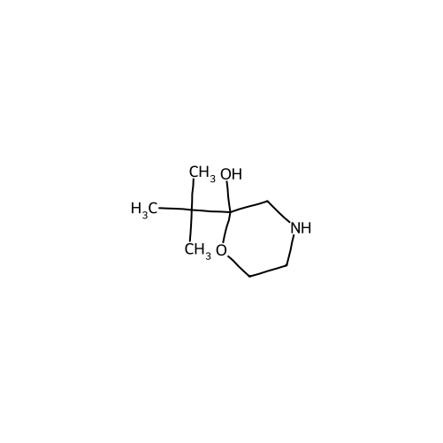 CC(C)(C)C1(O)CNCCO1